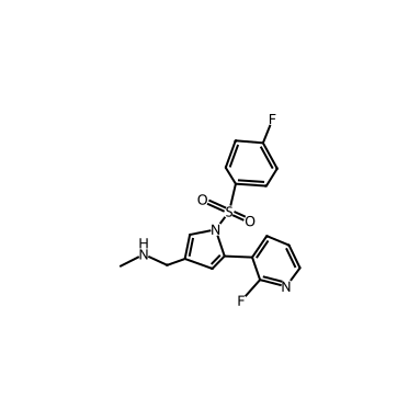 CNCc1cc(-c2cccnc2F)n(S(=O)(=O)c2ccc(F)cc2)c1